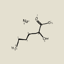 CCCCC(O)C(=O)[O-].[Na+]